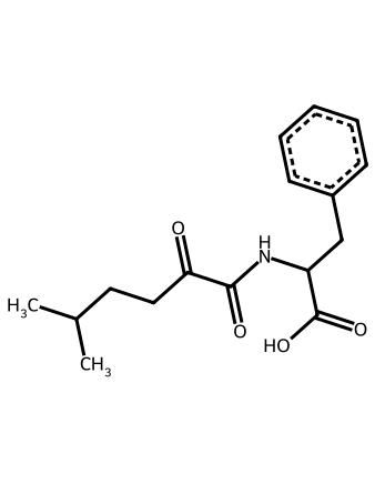 CC(C)CCC(=O)C(=O)NC(Cc1ccccc1)C(=O)O